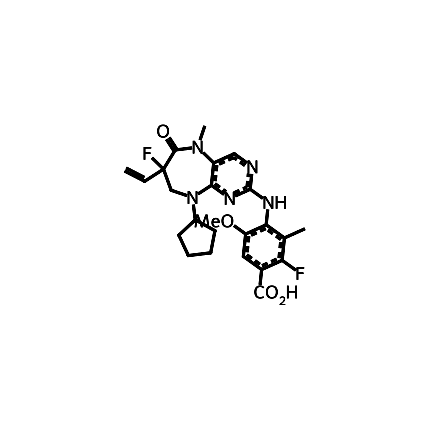 C=CC1(F)CN(C2CCCC2)c2nc(Nc3c(OC)cc(C(=O)O)c(F)c3C)ncc2N(C)C1=O